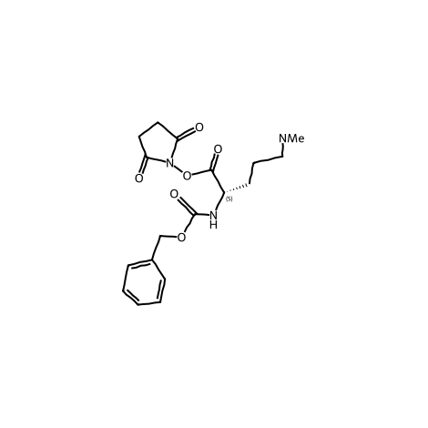 CNCCC[C@H](NC(=O)OCc1ccccc1)C(=O)ON1C(=O)CCC1=O